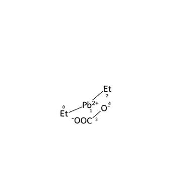 C[CH2][Pb+2][CH2]C.O=C([O-])[O-]